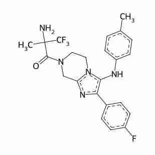 Cc1ccc(Nc2c(-c3ccc(F)cc3)nc3n2CCN(C(=O)C(C)(N)C(F)(F)F)C3)cc1